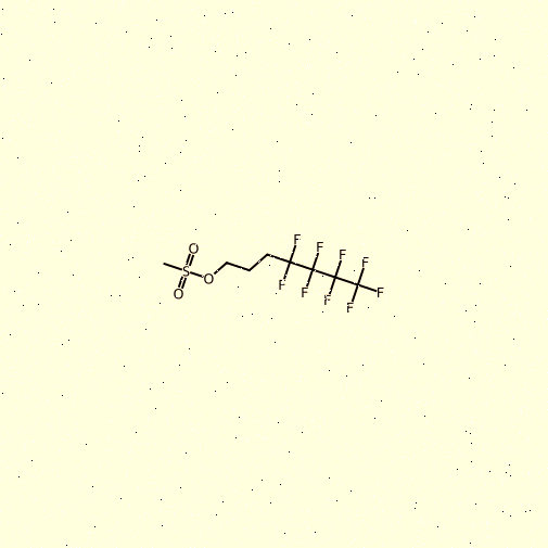 CS(=O)(=O)OCCCC(F)(F)C(F)(F)C(F)(F)C(F)(F)F